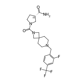 NC(=O)[C@H]1CCN(C(=O)N2CC3(CCN(Cc4ccc(C(F)(F)F)cc4F)CC3)C2)C1